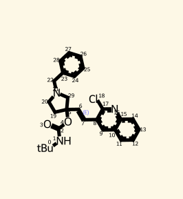 CC(C)(C)NC(=O)OC1(/C=C/c2cc3ccccc3nc2Cl)CCN(Cc2ccccc2)C1